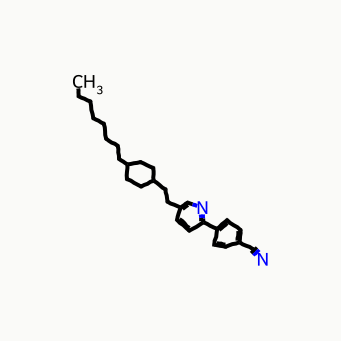 CCCCCCCCC1CCC(CCc2ccc(-c3ccc(C#N)cc3)nc2)CC1